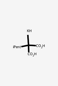 CCCC(C)C(C)(C(=O)O)C(=O)O.[KH]